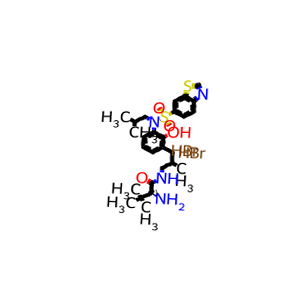 Br.Br.CC(C)CN(c1cccc(CC(C)CNC(=O)[C@H](N)C(C)(C)C)c1O)S(=O)(=O)c1ccc2ncsc2c1